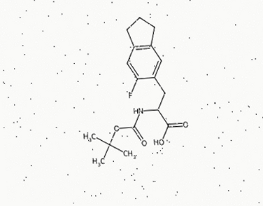 CC(C)(C)OC(=O)NC(Cc1cc2c(cc1F)CCC2)C(=O)O